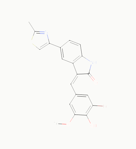 CCOc1cc(C=C2C(=O)Nc3ccc(-c4csc(C)n4)cc32)cc(Br)c1O